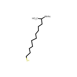 CC(=O)NC(CCCCCCCCCCS)C(=O)O